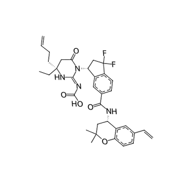 C=CCC[C@]1(CC)CC(=O)N([C@@H]2CC(F)(F)c3ccc(C(=O)N[C@H]4CC(C)(C)Oc5ccc(C=C)cc54)cc32)/C(=N/C(=O)O)N1